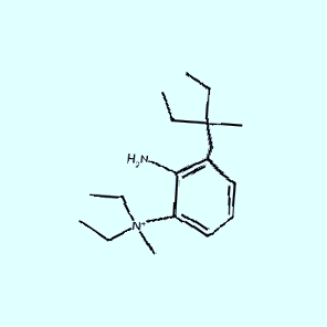 CCC(C)(CC)c1cccc([N+](C)(CC)CC)c1N